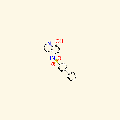 O=S(=O)(Nc1ccc(O)c2ncccc12)c1ccc(-c2ccccc2)cc1